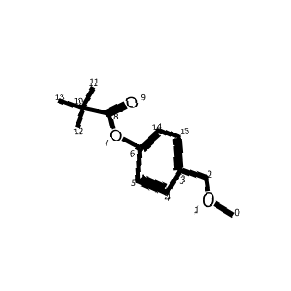 COCc1ccc(OC(=O)C(C)(C)C)cc1